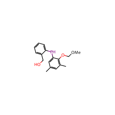 COCOc1c(C)cc(C)cc1Pc1ccccc1CO